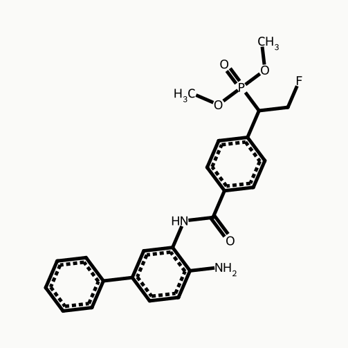 COP(=O)(OC)C(CF)c1ccc(C(=O)Nc2cc(-c3ccccc3)ccc2N)cc1